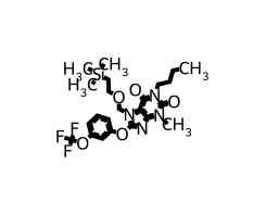 CCCCn1c(=O)c2c(nc(Oc3cccc(OC(F)(F)F)c3)n2COCC[Si](C)(C)C)n(C)c1=O